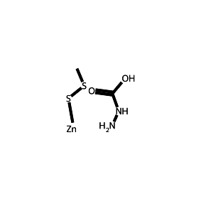 CSSC.NNC(=O)O.[Zn]